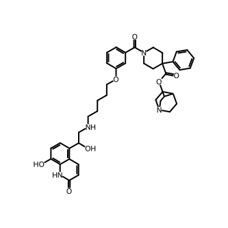 O=C(c1cccc(OCCCCCNCC(O)c2ccc(O)c3[nH]c(=O)ccc23)c1)N1CCC(C(=O)OC2CN3CCC2CC3)(c2ccccc2)CC1